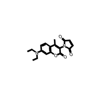 CCN(CC)c1ccc2c(C)c(N3C(=O)C=CC3=O)c(=O)oc2c1